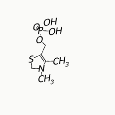 CC1=C(COP(=O)(O)O)SCN1C